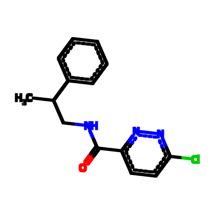 CC(CNC(=O)c1ccc(Cl)nn1)c1ccccc1